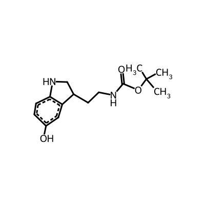 CC(C)(C)OC(=O)NCCC1CNc2ccc(O)cc21